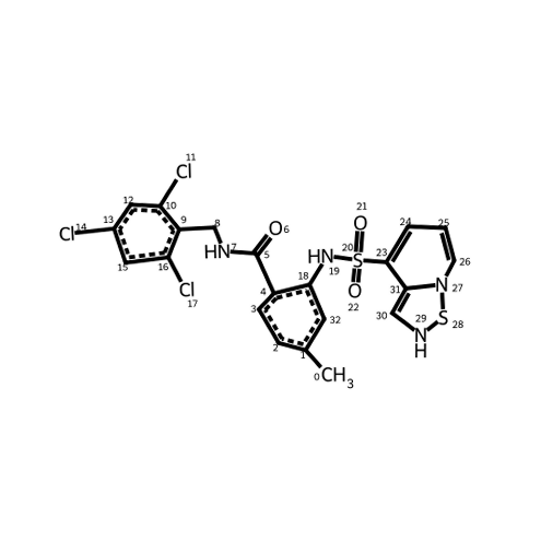 Cc1ccc(C(=O)NCc2c(Cl)cc(Cl)cc2Cl)c(NS(=O)(=O)C2=CC=CN3SNC=C23)c1